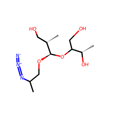 CC(CO[C@H](OC(CO)[C@H](C)O)[C@@H](C)CO)N=[N+]=[N-]